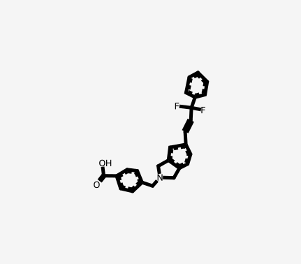 O=C(O)c1ccc(CN2Cc3ccc(C#CC(F)(F)c4ccccc4)cc3C2)cc1